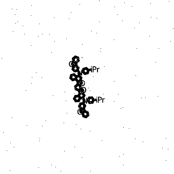 CC(C)c1ccc(N(c2ccc3oc4ccccc4c3c2)c2cc3oc4c(ccc5c4oc4cc(N(c6ccc(C(C)C)cc6)c6ccc7oc8ccccc8c7c6)c6ccccc6c45)c3c3ccccc23)cc1